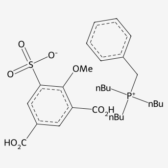 CCCC[P+](CCCC)(CCCC)Cc1ccccc1.COc1c(C(=O)O)cc(C(=O)O)cc1S(=O)(=O)[O-]